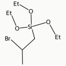 CCO[Si](CC(C)Br)(OCC)OCC